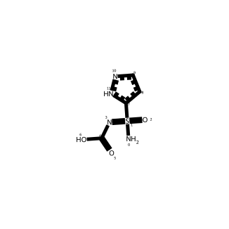 NS(=O)(=NC(=O)O)c1ccn[nH]1